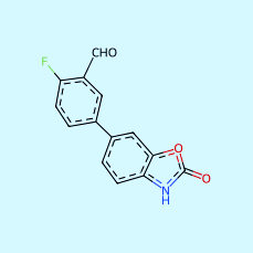 O=Cc1cc(-c2ccc3[nH]c(=O)oc3c2)ccc1F